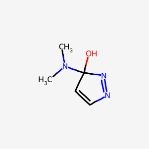 CN(C)C1(O)C=CN=N1